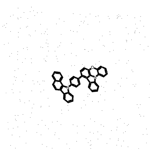 c1ccc2c(c1)Oc1ccc(-c3ccc(-n4c5ccccc5c5ccc6ccccc6c54)cc3)c3c4ccccc4n-2c13